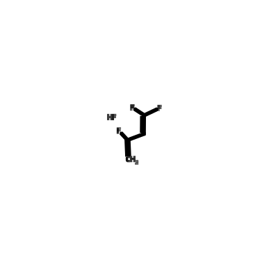 C=C(F)C=C(F)F.F